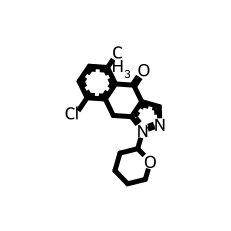 Cc1ccc(Cl)c2c1C(=O)c1cnn(C3CCCCO3)c1C2